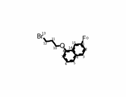 Fc1ccc2cc[c]c(OCCCBr)c2c1